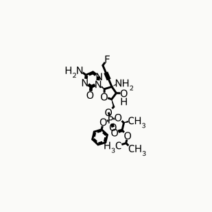 CC(C)OC(=O)[C@H](C)OP(=O)(OC[C@H]1O[C@@H](n2ncc(N)nc2=O)[C@@](N)(C#CCF)C1O)Oc1ccccc1